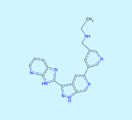 CCNCc1cncc(-c2cc3c(-c4nc5cccnc5[nH]4)n[nH]c3cn2)c1